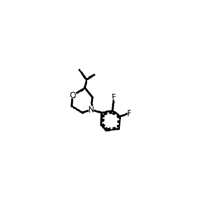 CC(C)C1CN(c2cccc(F)c2F)CCO1